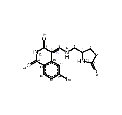 O=C1CCC(CN/C=C2/C(=O)NC(=O)c3ccc(I)cc32)N1